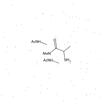 CNC(=O)C(C)[SiH3].CNC(C)=O.CNC(C)=O